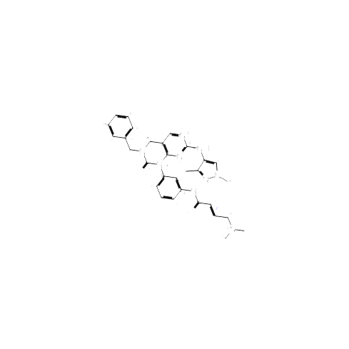 Cc1nn(C)cc1Nc1ncc2c(n1)N(c1cccc(NC(=O)/C=C/CN(C)C)c1)C(=O)N(Cc1ccccc1)C2